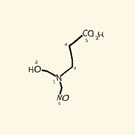 O=NN(O)CCC(=O)O